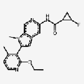 CCOc1nccc(C)c1-c1cc2cc(NC(=O)C3CC3F)ncc2n1C